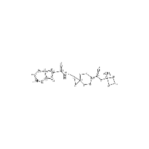 CC1(CC(=O)N2CCC3(CC2)CC3CNC(=O)c2cc3ccncc3o2)CCC1